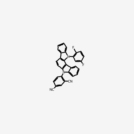 N#Cc1ccc(-n2c3ccccc3c3c2ccc2c4ccccc4n(-c4cc(F)ccc4F)c23)c(C#N)c1